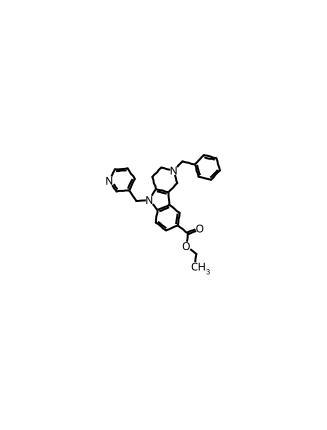 CCOC(=O)c1ccc2c(c1)c1c(n2Cc2cccnc2)CCN(Cc2ccccc2)C1